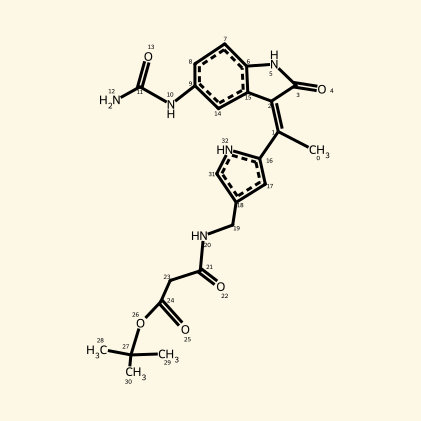 CC(=C1C(=O)Nc2ccc(NC(N)=O)cc21)c1cc(CNC(=O)CC(=O)OC(C)(C)C)c[nH]1